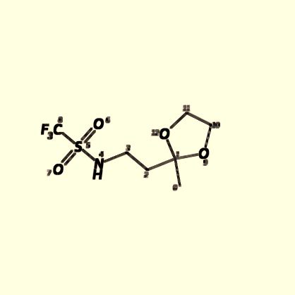 CC1(CCNS(=O)(=O)C(F)(F)F)OCCO1